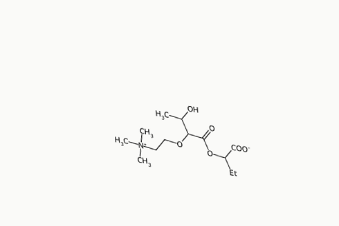 CCC(OC(=O)C(OCC[N+](C)(C)C)C(C)O)C(=O)[O-]